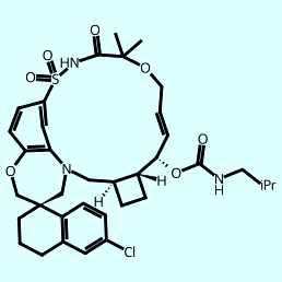 CC(C)CNC(=O)O[C@H]1/C=C/COC(C)(C)C(=O)NS(=O)(=O)c2ccc3c(c2)N(C[C@@H]2CC[C@H]21)C[C@@]1(CCCc2cc(Cl)ccc21)CO3